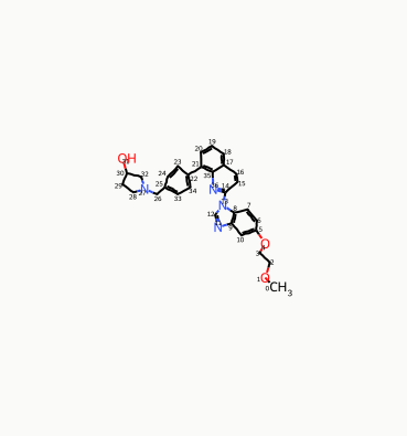 COCCOc1ccc2c(c1)ncn2-c1ccc2cccc(-c3ccc(CN4CCC(O)C4)cc3)c2n1